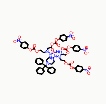 NP(=O)(NN(CCOC(=O)Oc1ccc([N+](=O)[O-])cc1)CCOC(=O)Oc1ccc([N+](=O)[O-])cc1)N(N(CCOC(=O)Oc1ccc([N+](=O)[O-])cc1)CCOC(=O)Oc1ccc([N+](=O)[O-])cc1)N1CCN(C(c2ccccc2)(c2ccccc2)c2ccccc2)CC1